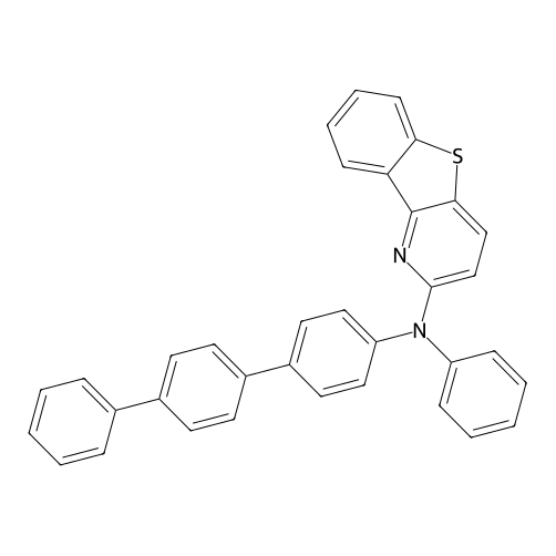 c1ccc(-c2ccc(-c3ccc(N(c4ccccc4)c4ccc5sc6ccccc6c5n4)cc3)cc2)cc1